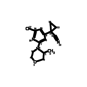 CC1COCCN1c1cc(C2(C#N)CC2)cc(Cl)n1